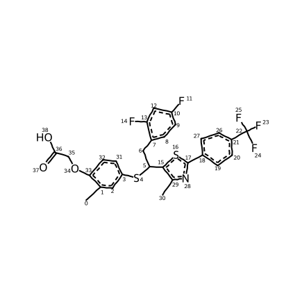 Cc1cc(SC(Cc2ccc(F)cc2F)c2sc(-c3ccc(C(F)(F)F)cc3)nc2C)ccc1OCC(=O)O